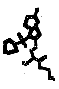 CCOC(=O)C(C)OCc1cc2cc(Cl)ccc2n1S(=O)(=O)c1ccccc1